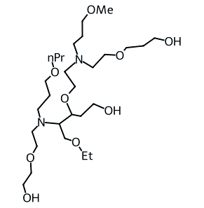 CCCOCCCN(CCOCCO)C(COCC)C(CCO)OCCN(CCCOC)CCOCCCO